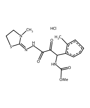 COC(=O)NC(C(=O)C(=O)NN=C1SCCN1C)c1ccccc1C.Cl